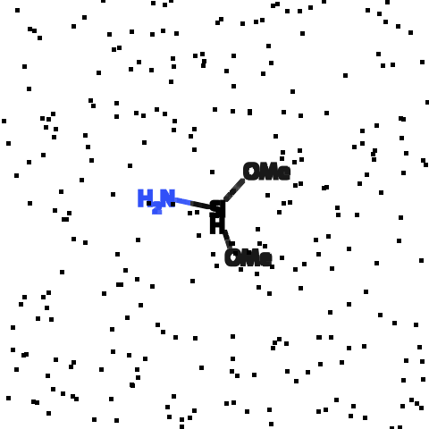 CO[SiH](N)OC